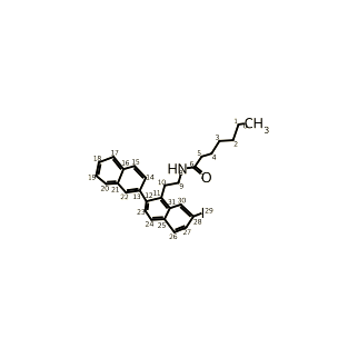 CCCCCCC(=O)NCCc1c(-c2ccc3ccccc3c2)ccc2ccc(I)cc12